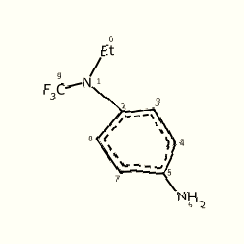 CCN(c1ccc(N)cc1)C(F)(F)F